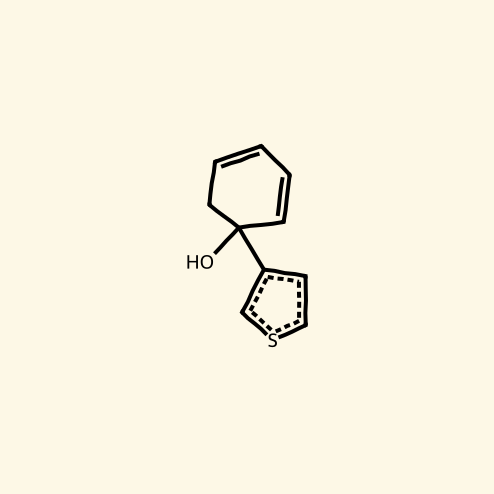 OC1(c2ccsc2)C=CC=CC1